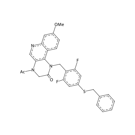 COc1ccc2c3c(cnc2c1)N(C(C)=O)CC(=O)N3Cc1c(F)cc(SCc2ccccc2)cc1F